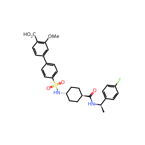 COc1cc(-c2ccc(S(=O)(=O)N[C@H]3CC[C@H](C(=O)N[C@H](C)c4ccc(F)cc4)CC3)cc2)ccc1C(=O)O